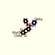 COC1=C(OC)C(=O)C(Cc2cccc(C(=O)Nc3ccc(OC)cc3)c2OCc2ccccc2)=C(C)C1=O